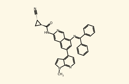 Cn1ccc2c(-c3cc(N=C(c4ccccc4)c4ccccc4)c4cnc(NC(=O)[C@H]5C[C@@H]5C#N)cc4c3)ccnc21